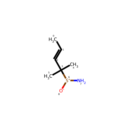 CC=CC(C)(C)[S+](N)[O-]